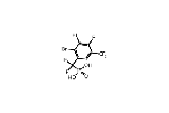 CCc1c(C(F)(F)F)cc(C(F)(F)P(=O)(O)O)c(Br)c1CC